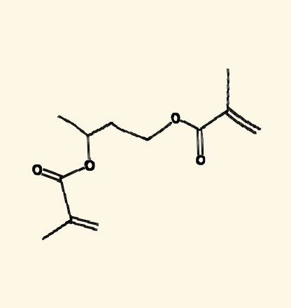 C=C(C)C(=O)OCCC(C)OC(=O)C(=C)C